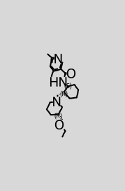 CCOC[C@@H]1CCCN(C[C@H]2CCCC[C@@H]2NC(=O)c2cnc(C)cc2C)C1